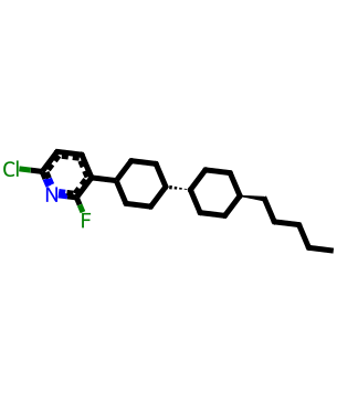 CCCCC[C@H]1CC[C@H](C2CCC(c3ccc(Cl)nc3F)CC2)CC1